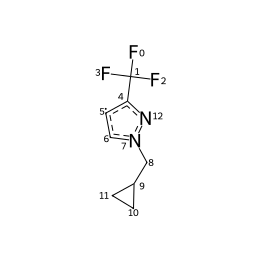 FC(F)(F)c1[c]cn(CC2CC2)n1